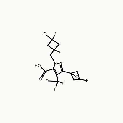 CC1(Cn2nc(C34CC(F)(C3)C4)c(C(F)(F)F)c2C(=O)O)CC(F)(F)C1